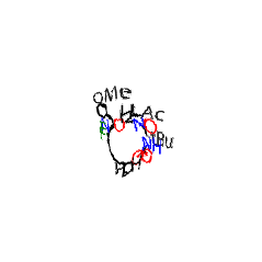 COc1ccc2nc3c(cc2c1)O[C@H]1CN(C(=O)[C@H](C(C)(C)C)NC(=O)O[C@@H]2CC4CC4[C@H]2CCCCC3(F)F)[C@H](C(C)=O)[C@@H]1C